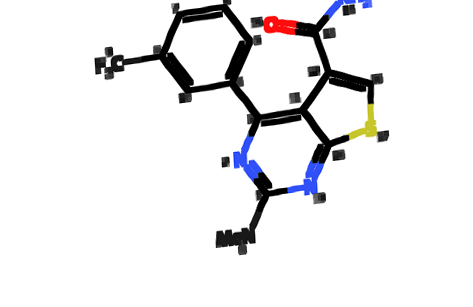 CNc1nc(-c2cccc(C(F)(F)F)c2)c2c(C(N)=O)csc2n1